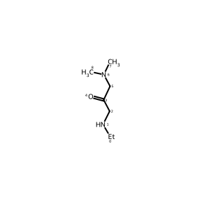 CCNCC(=O)CN(C)C